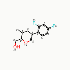 CC1CC(c2ccc(F)cc2F)=COC1CO